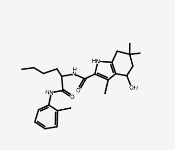 CCCCC(NC(=O)c1[nH]c2c(c1C)C(O)CC(C)(C)C2)C(=O)Nc1ccccc1C